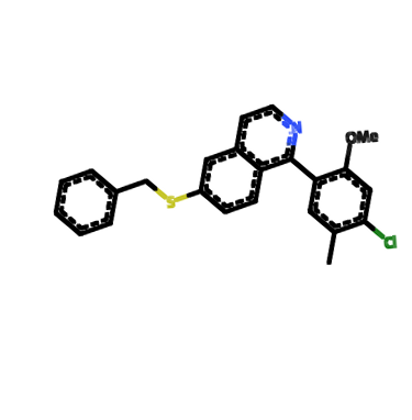 COc1cc(Cl)c(C)cc1-c1nccc2cc(SCc3ccccc3)ccc12